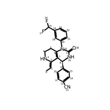 CC=C1NCCC2=C1[C@H](c1ccc(C#N)cc1)NC(=O)N2c1cccc(C(F)F)c1